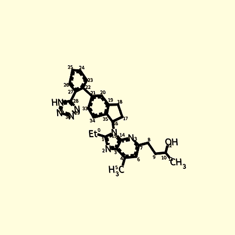 CCc1nc2c(C)cc(CCC(C)O)nc2n1C1CCc2cc(-c3ccccc3-c3nnn[nH]3)ccc21